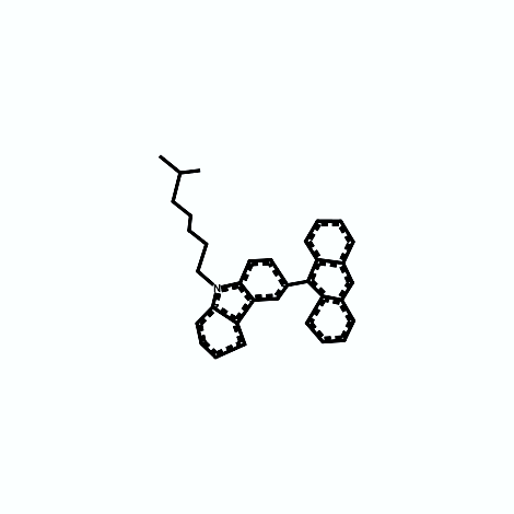 CC(C)CCCCCn1c2ccccc2c2cc(-c3c4ccccc4cc4ccccc34)ccc21